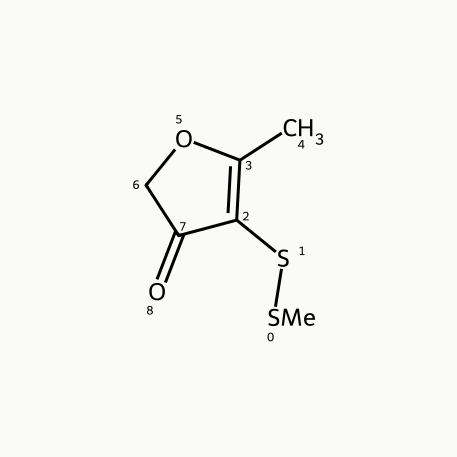 CSSC1=C(C)OCC1=O